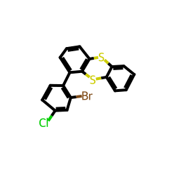 Clc1ccc(-c2cccc3c2Sc2ccccc2S3)c(Br)c1